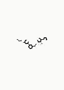 C=Nc1c(NCC(=N)c2cc(-c3cncc(NC(=C)CCC)c3)ccc2C)cncc1-c1ccc(C)s1